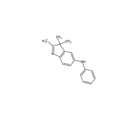 CC1=Nc2ccc(Nc3ccccc3)cc2C1(C)C